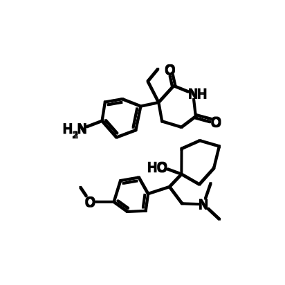 CCC1(c2ccc(N)cc2)CCC(=O)NC1=O.COc1ccc(C(CN(C)C)C2(O)CCCCC2)cc1